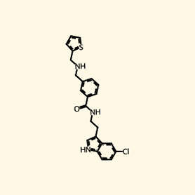 O=C(NCCc1c[nH]c2ccc(Cl)cc12)c1cccc(CNCc2cccs2)c1